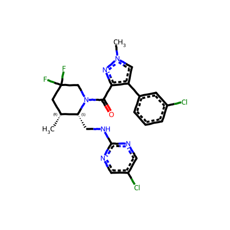 C[C@@H]1CC(F)(F)CN(C(=O)c2nn(C)cc2-c2cccc(Cl)c2)[C@@H]1CNc1ncc(Cl)cn1